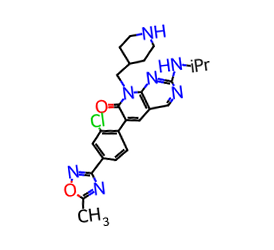 Cc1nc(-c2ccc(-c3cc4cnc(NC(C)C)nc4n(CC4CCNCC4)c3=O)c(Cl)c2)no1